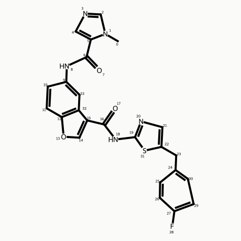 Cn1cncc1C(=O)Nc1ccc2occ(C(=O)Nc3ncc(Cc4ccc(F)cc4)s3)c2c1